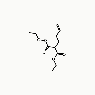 C=CCCC(C(=O)OCC)C(=O)OOCC